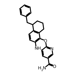 NC(=O)c1ccc(Oc2c(N)ccc3c2CCCC3Cc2ccccc2)nc1